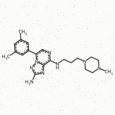 Cc1cc(C)cc(-c2cnc(NCCCN3CCN(C)CC3)c3nc(N)nn23)c1